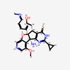 C=C(/C=C\C=N/C)[C@@]12Oc3cncc(OC)c3[C@]1(N)c1nc(C3CC3)[nH]c(=S)c1[C@H]2CCO